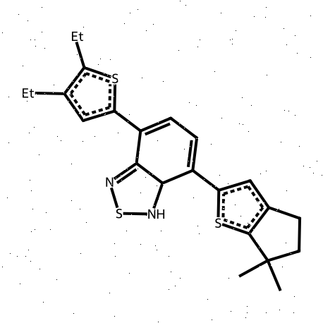 CCc1cc(C2=CC=C(c3cc4c(s3)C(C)(C)CC4)C3NSN=C23)sc1CC